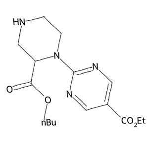 CCCCOC(=O)C1CNCCN1c1ncc(C(=O)OCC)cn1